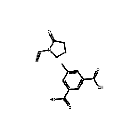 C=CN1CCCC1=O.Cc1cc(C(=O)O)cc(C(=O)O)c1